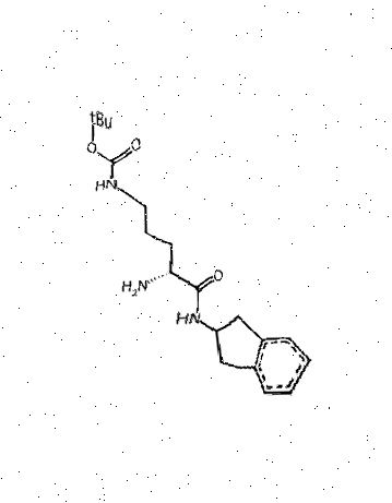 CC(C)(C)OC(=O)NCCC[C@@H](N)C(=O)NC1Cc2ccccc2C1